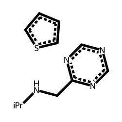 CC(C)NCc1ncncn1.c1ccsc1